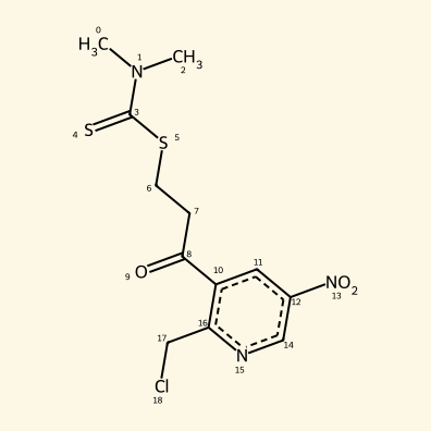 CN(C)C(=S)SCCC(=O)c1cc([N+](=O)[O-])cnc1CCl